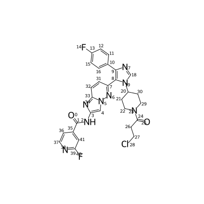 O=C(Nc1cn2nc(-c3c(-c4ccc(F)cc4)ncn3C3CCN(C(=O)CCCl)CC3)ccc2n1)c1ccnc(F)c1